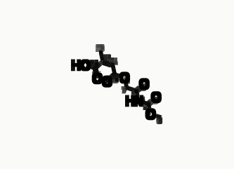 COC(=O)NC(=O)COC(=O)C=C(C)C(=O)O